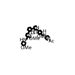 COc1cc(-c2nccc(-c3cccc(-c4ccc(CNC5CCC(OC)CC5)c(OC)n4)c3Cl)c2Cl)ccc1CNC1CCN(C(C)=O)CC1